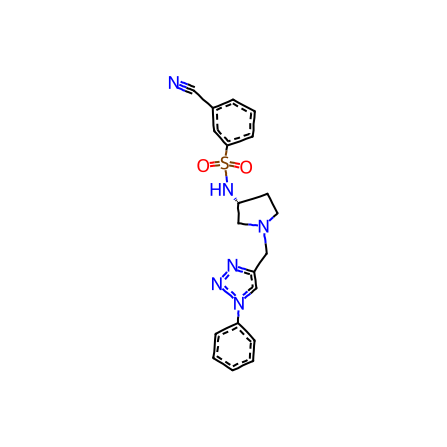 N#Cc1cccc(S(=O)(=O)N[C@@H]2CCN(Cc3cn(-c4ccccc4)nn3)C2)c1